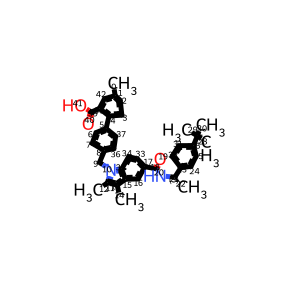 Cc1ccc(-c2ccc(Cn3c(C)c(C)c4cc(C(=O)N[C@@H](C)c5ccc(C(C)(C)C)cc5)ccc43)cc2)c(C(=O)O)c1